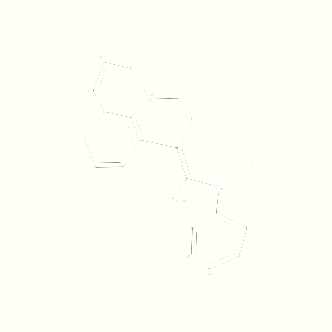 CCCCN1C(=c2ccc3cccc4cccc2c43)Nc2ccccc21